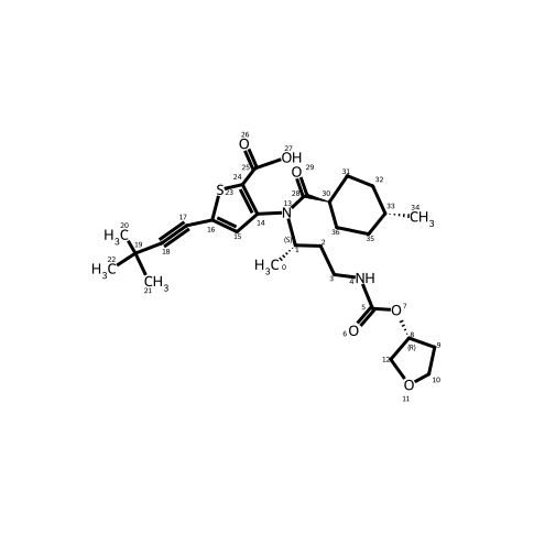 C[C@@H](CCNC(=O)O[C@@H]1CCOC1)N(c1cc(C#CC(C)(C)C)sc1C(=O)O)C(=O)[C@H]1CC[C@H](C)CC1